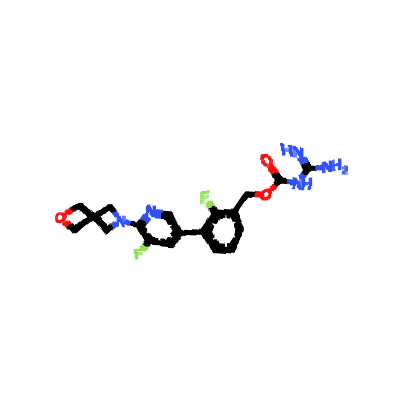 N=C(N)NC(=O)OCc1cccc(-c2cnc(N3CC4(COC4)C3)c(F)c2)c1F